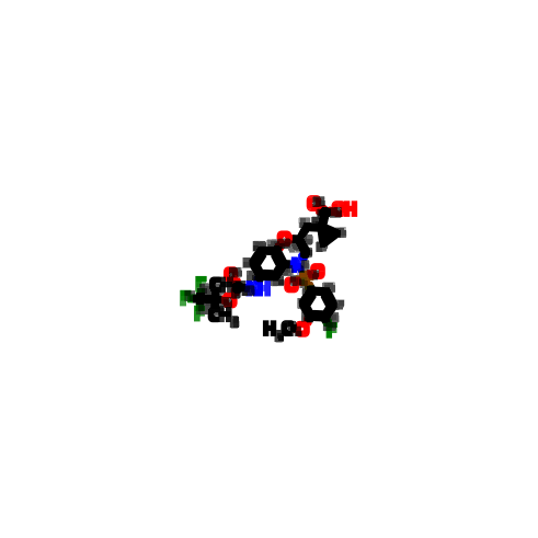 COc1cc(S(=O)(=O)N2C[C@H](CC3(C(=O)O)CC3)Oc3ccc(NC(=O)OC(C)(C)C(F)(F)F)cc32)ccc1F